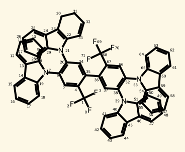 FC(F)(F)c1cc(-n2c3ccccc3c3ccccc32)c(-n2c3c(c4ccccc42)CCC=C3)cc1-c1cc(-n2c3ccccc3c3ccccc32)c(-n2c3ccccc3c3ccccc32)cc1C(F)(F)F